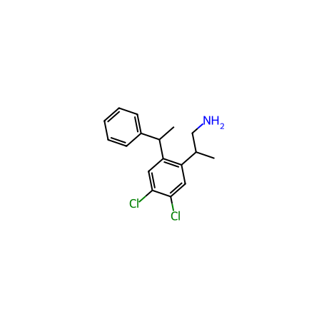 CC(CN)c1cc(Cl)c(Cl)cc1C(C)c1ccccc1